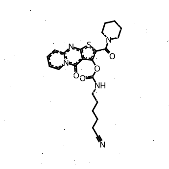 N#CCCCCCNC(=O)Oc1c(C(=O)N2CCCCC2)sc2nc3ccccn3c(=O)c12